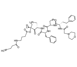 C#CCCC(=O)NCCCC(=O)O[C@](C)(CI)C(=O)[C@H](CC(C)C)NC(=O)[C@H](Cc1ccccc1)NC(=O)C(CC(C)C)NC(=O)[C@H](CCc1ccccc1)NC(=O)CN1CCOCC1